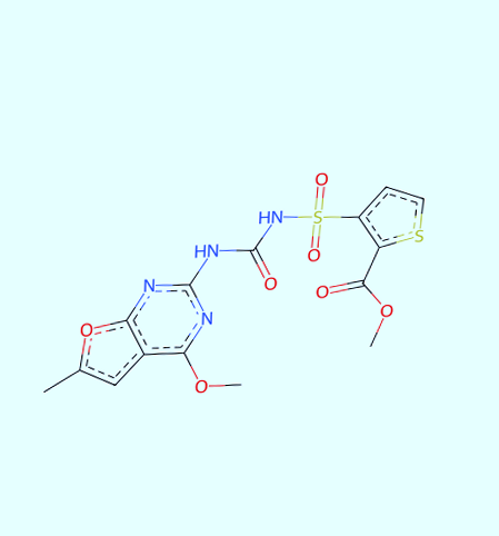 COC(=O)c1sccc1S(=O)(=O)NC(=O)Nc1nc(OC)c2cc(C)oc2n1